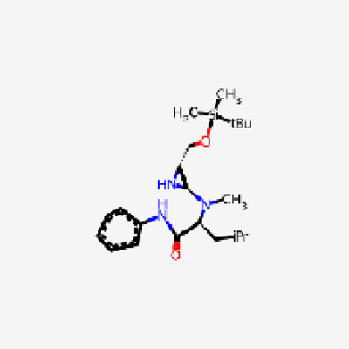 CC(C)C[C@@H](C(=O)Nc1ccccc1)N(C)[C@H]1N[C@@H]1CO[Si](C)(C)C(C)(C)C